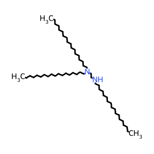 CCCCCCCCCCCCCCCCCCNCCN(CCCCCCCCCCCCCCCCCC)CCCCCCCCCCCCCCCCCC